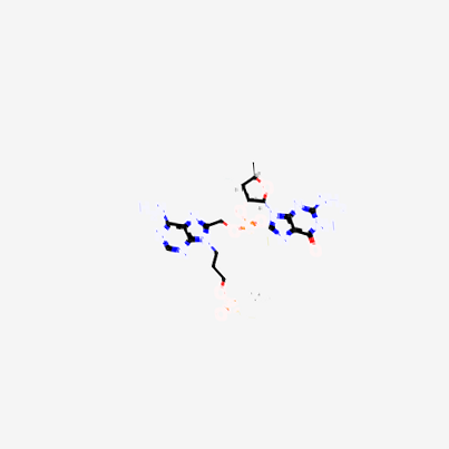 COP(=O)(S)OCCCn1c(COP(=O)(S)O[C@@H]2[C@H](F)[C@@H](C)O[C@H]2n2cnc3c(=O)[nH]c(N)nc32)nc2c(N)ncnc21